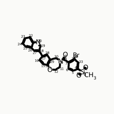 CS(=O)(=O)c1ccc(C(=O)N2CCOc3ccc(-c4cnc5ccccc5c4)cc3C2)c(Br)c1